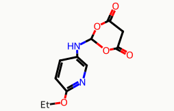 CCOc1ccc(NC2OC(=O)CC(=O)O2)cn1